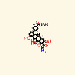 COC(=O)c1ccc(-c2ccc(O)c3c2C[C@H]2C[C@H]4CC(O)=C(C(N)=O)C(=O)[C@@]4(O)C(O)=C2C3=O)cc1